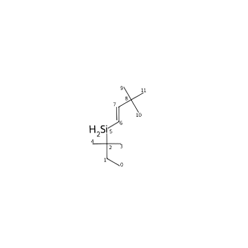 CCC(C)(C)[SiH2]C=CC(C)(C)C